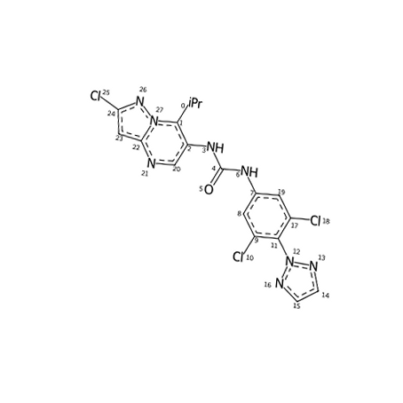 CC(C)c1c(NC(=O)Nc2cc(Cl)c(-n3nccn3)c(Cl)c2)cnc2cc(Cl)nn12